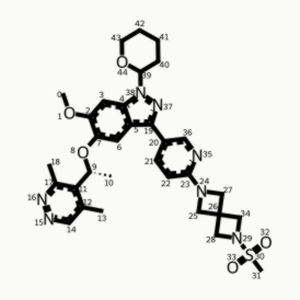 COc1cc2c(cc1O[C@H](C)c1c(C)cnnc1C)c(-c1ccc(N3CC4(C3)CN(S(C)(=O)=O)C4)nc1)nn2C1CCCCO1